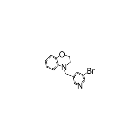 Brc1cncc(CN2CCOc3ccccc32)c1